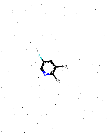 N#Cc1ncc(F)cc1[N+](=O)[O-]